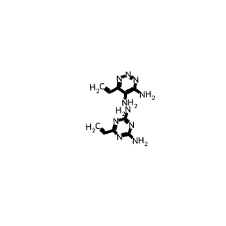 C=Cc1nc(N)nc(N)n1.C=Cc1nnnc(N)c1N